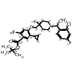 CC(c1ccc(F)cc1Cl)N1CCC(F)(COc2cc(F)c(C(=O)OC(C)(C)C)cc2C2CC2)CC1